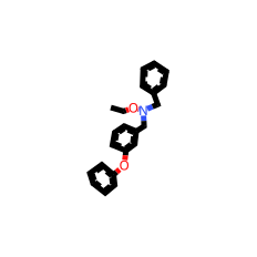 CCON(Cc1ccccc1)Cc1cccc(Oc2ccccc2)c1